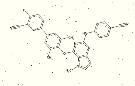 Cc1cc(-c2ccc(F)c(C#N)c2)cc(C)c1Oc1nc(Nc2ccc(C#N)cc2)nc2ccn(C)c12